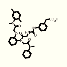 Cc1ccc(C)c(N(C)C(=O)COc2ccccc2N(CC(=O)N(C)c2ccccc2)C(=O)CNC(=O)Nc2cccc(CC(=O)O)c2)c1